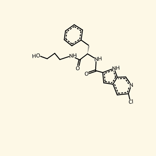 O=C(N[C@@H](Cc1ccccc1)C(=O)NCCCO)c1cc2cc(Cl)ncc2[nH]1